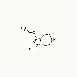 CCOc1noc2c1CCNCC2.Cl